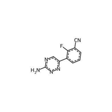 N#Cc1cccc(-c2cnc(N)nn2)c1F